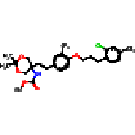 CC(C)(C)OC(=O)NC1(CCc2ccc(OCCCc3ccc(C(F)(F)F)cc3Cl)c(C(F)(F)F)c2)COC(C)(C)OC1